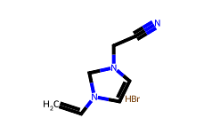 Br.C=CN1C=CN(CC#N)C1